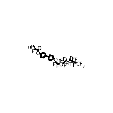 CCC[C@H](F)C(=O)Oc1ccc(-c2ccc(OC(F)C(F)(F)OC(F)(F)C(F)(F)OC(F)(F)C(F)(F)C(F)(F)C(F)(F)F)cc2)cc1